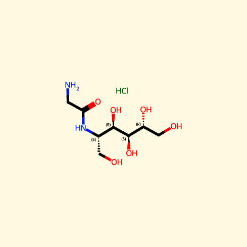 Cl.NCC(=O)N[C@@H](CO)[C@@H](O)[C@H](O)[C@H](O)CO